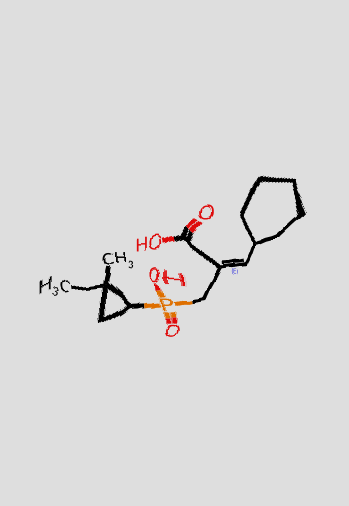 CC1(C)CC1P(=O)(O)C/C(=C/C1CCCCC1)C(=O)O